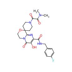 CN(C)C(=O)C(=O)N1CCC2(CC1)OCCn1c2nc(C(=O)NCc2ccc(F)cc2)c(O)c1=O